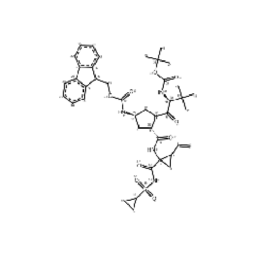 C=CC1CC1(NC(=O)[C@@H]1C[C@@H](NC(=O)OCC2c3ccccc3-c3ccccc32)CN1C(=O)[C@@H](NC(=O)OC(C)(C)C)C(C)(C)C)C(=O)NS(=O)(=O)C1CC1